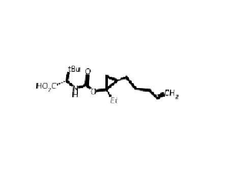 C=CCCC[C@@H]1C[C@@]1(CC)OC(=O)N[C@H](C(=O)O)C(C)(C)C